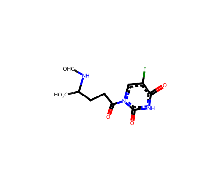 O=CNC(CCC(=O)n1cc(F)c(=O)[nH]c1=O)C(=O)O